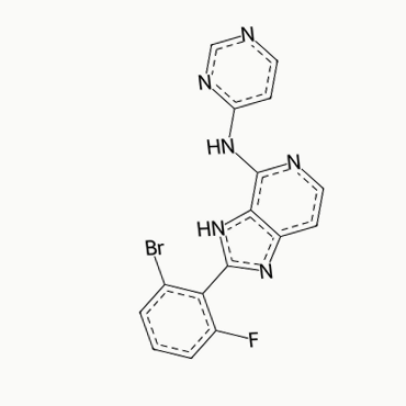 Fc1cccc(Br)c1-c1nc2ccnc(Nc3ccncn3)c2[nH]1